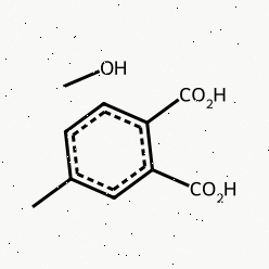 CO.Cc1ccc(C(=O)O)c(C(=O)O)c1